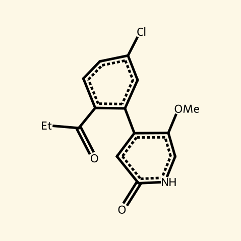 CCC(=O)c1ccc(Cl)cc1-c1cc(=O)[nH]cc1OC